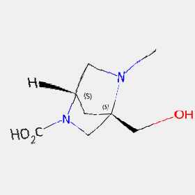 CN1C[C@@H]2C[C@@]1(CO)CN2C(=O)O